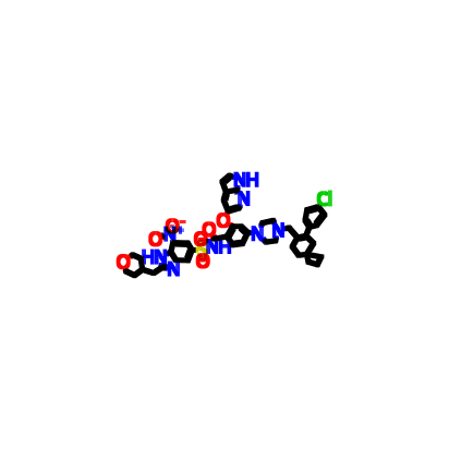 O=C(NS(=O)(=O)C1=CC2N=C(CC3CCOCC3)NC2C([N+](=O)[O-])=C1)c1ccc(N2CCN(CC3=C(c4ccc(Cl)cc4)CC4(CCC4)CC3)CC2)cc1Oc1cnc2[nH]ccc2c1